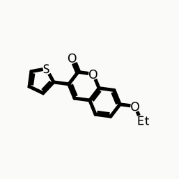 CCOc1ccc2cc(-c3cccs3)c(=O)oc2c1